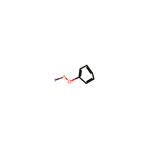 ISOc1ccccc1